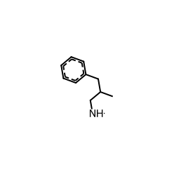 CC(C[NH])Cc1ccccc1